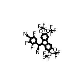 N#CC(=C1c2cc(OC(F)(F)F)c(OC(F)(F)F)cc2-c2cc(OC(F)(F)F)c(OC(F)(F)F)cc21)c1cc(F)c(C#N)c(F)c1F